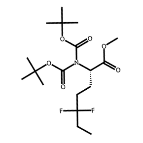 CCC(F)(F)CC[C@@H](C(=O)OC)N(C(=O)OC(C)(C)C)C(=O)OC(C)(C)C